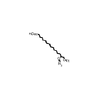 CCCCCCCCCCCCCCCCCCCCCCCC(COCC)O[SiH3]